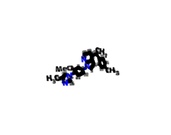 COc1cc(-n2ccc3c(C(C)c4ccc(C)cc4)ccnc32)ccc1-n1cnc(C)c1